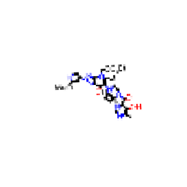 CCOC(=O)Cn1c(CC)c(N2CCN(C(=O)c3ncnc(C)c3O)[C@H]3CC[C@@H]32)c(=O)c2nn(-c3ccnc(OC)c3)nc21